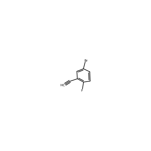 C#Cc1cc(Br)ccc1F